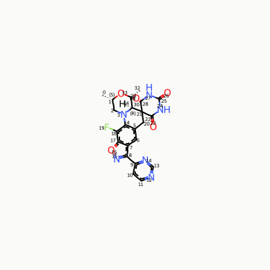 C[C@H]1CN2c3c(cc4c(-c5ccncn5)noc4c3F)CC3(C(=O)NC(=O)NC3=O)[C@@H]2[C@@H](C)O1